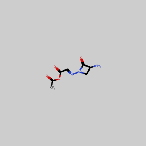 NC1CN(N=CC(=O)OC(=O)C(F)(F)F)C1=O